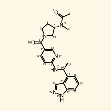 CC(=O)N(C)[C@H]1CCN(C(=O)c2ccc(N[C@@H](C)c3cccc4[nH]ncc34)nc2)C1